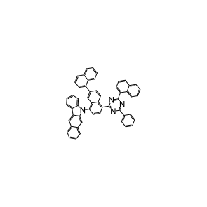 c1ccc(-c2nc(-c3cccc4ccccc34)nc(-c3ccc(-n4c5ccccc5c5cc6ccccc6cc54)c4cc(-c5cccc6ccccc56)ccc34)n2)cc1